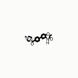 CC1Oc2ccc(-c3ccc(C(=O)N4CCN(C)CC4)cc3)cc2NC1=O